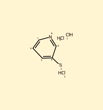 Cl.Cl.Cl.[Ti][c]1cccnc1